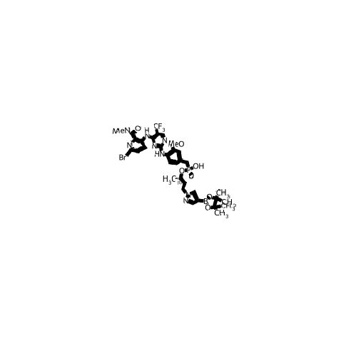 CNC(=O)c1nc(Br)ccc1Nc1nc(Nc2ccc(CP(=O)(O)O[C@@H](C)CCn3cc(B4OC(C)(C)C(C)(C)O4)cn3)cc2OC)ncc1C(F)(F)F